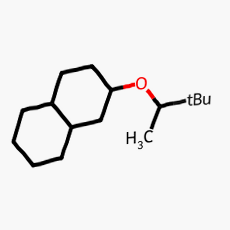 CC(OC1CCC2CCCCC2C1)C(C)(C)C